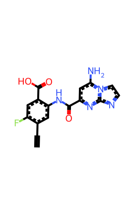 C#Cc1cc(NC(=O)c2cc(N)n3ccnc3n2)c(C(=O)O)cc1F